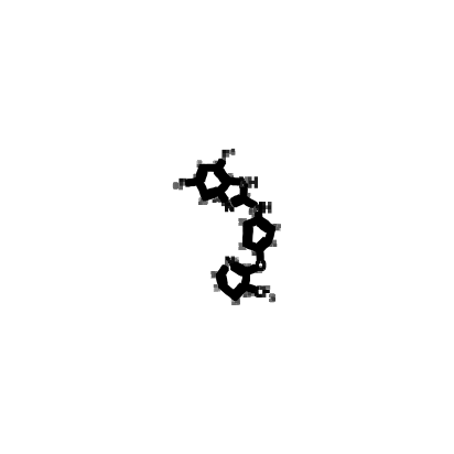 Fc1cc(F)c2[nH]c(Nc3ccc(Oc4ncccc4C(F)(F)F)cc3)nc2c1